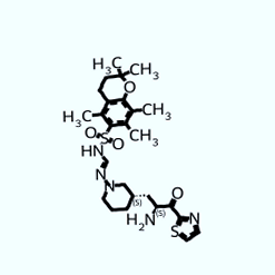 Cc1c(C)c(S(=O)(=O)NC=NN2CCC[C@@H](C[C@H](N)C(=O)c3nccs3)C2)c(C)c2c1OC(C)(C)CC2